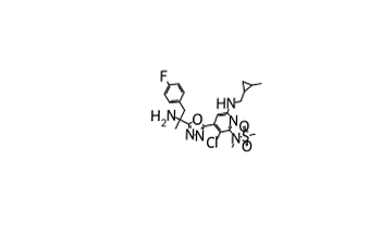 CC1CC1CNc1cc(-c2nnc(C(C)(N)Cc3ccc(F)cc3)o2)c(Cl)c(N(C)S(C)(=O)=O)n1